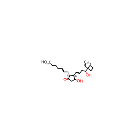 C=CC1(C(O)CC=C[C@H]2C(O)CC(=O)[C@@H]2CC=CCCCC(=O)O)CCC1